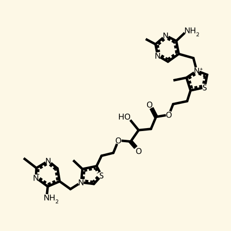 Cc1ncc(C[n+]2csc(CCOC(=O)CC(O)C(=O)OCCc3sc[n+](Cc4cnc(C)nc4N)c3C)c2C)c(N)n1